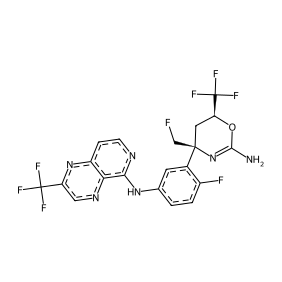 NC1=N[C@](CF)(c2cc(Nc3nccc4nc(C(F)(F)F)cnc34)ccc2F)C[C@@H](C(F)(F)F)O1